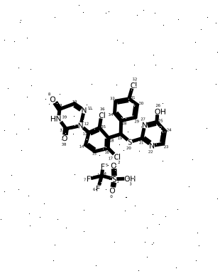 O=S(=O)(O)C(F)(F)F.O=c1cnn(-c2ccc(Cl)c(C(Sc3nccc(O)n3)c3ccc(Cl)cc3)c2Cl)c(=O)[nH]1